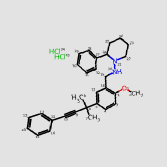 COc1ccc(C(C)(C)C#Cc2ccccc2)cc1CNN1CCCCC1c1ccccc1.Cl.Cl